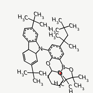 CC(C)(C)CC(C)(C)c1cc(B2OC(C)(C)C(C)(C)O2)c(OC2CCCCO2)c(N2c3cc(C(C)(C)C)ccc3C3C=CC(C(C)(C)C)=CC32)c1